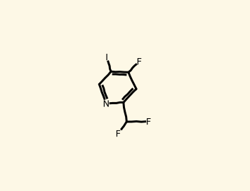 Fc1cc(C(F)F)ncc1I